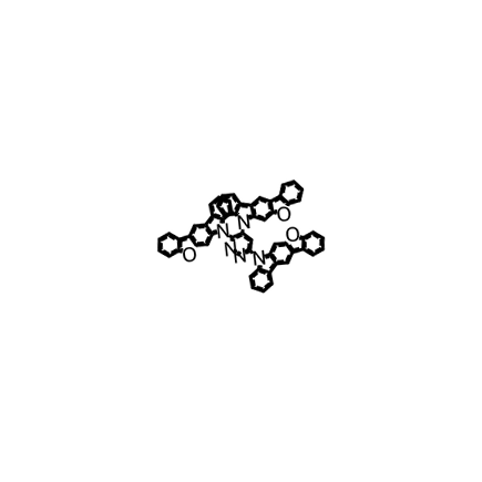 c1ccc2c(c1)oc1cc3c(cc12)c1ccccc1n3-c1cc(-n2c3ccccc3c3cc4c(cc32)oc2ccccc24)c(-n2c3ccccc3c3cc4c(cc32)oc2ccccc24)nn1